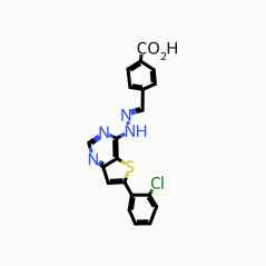 O=C(O)c1ccc(C=NNc2ncnc3cc(-c4ccccc4Cl)sc23)cc1